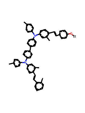 CCOc1ccc(/C=C/c2ccc(N(c3ccc(C)cc3)c3ccc(-c4ccc(N(c5ccc(C)cc5)c5ccc(/C=C/c6ccccc6C)c(C)c5)cc4)cc3)cc2C)cc1